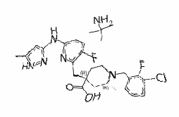 CC(C)(C)N.Cc1cc(Nc2ccc(F)c(C[C@@]3(C(=O)O)CCN(Cc4cccc(Cl)c4F)[C@H](C)C3)n2)n[nH]1